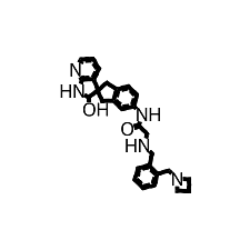 O=C(CNCc1ccccc1CN1CCC1)Nc1ccc2c(c1)CC1(C2)c2cccnc2NC1O